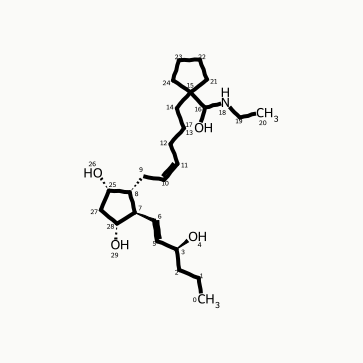 CCC[C@H](O)/C=C/[C@@H]1[C@@H](C/C=C\CCCC2(C(O)NCC)CCCC2)[C@@H](O)C[C@H]1O